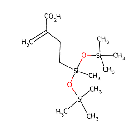 C=C(CC[Si](C)(O[Si](C)(C)C)O[Si](C)(C)C)C(=O)O